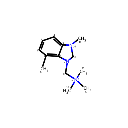 Cc1cccc2c1N(C[N+](C)(C)C)CN2C